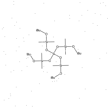 CCC(C)O[Si](C)(C)O[Si](O[Si](C)(C)OC(C)CC)(O[Si](C)(C)OC(C)CC)O[Si](C)(C)OC(C)CC